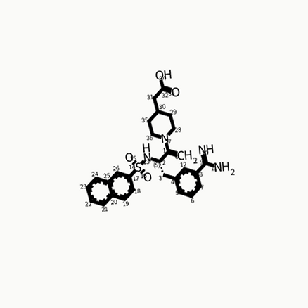 C=C([C@H](Cc1cccc(C(=N)N)c1)NS(=O)(=O)c1ccc2ccccc2c1)N1CCC(CC(=O)O)CC1